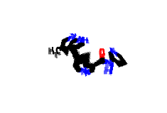 Cc1cnc2[nH]cc(-c3ccn4ncc(C(=O)Nc5cccnc5)c4c3)c2c1